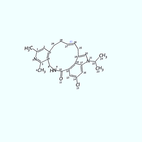 Cc1cc2c(c(C)n1)CNC(=O)c1cc(Cl)cc3c1c(cn3C(C)C)C/C=C/CC2